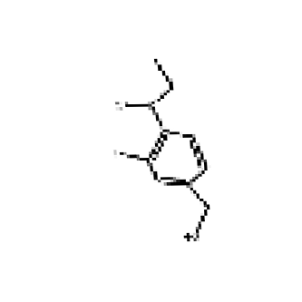 CC[S+]([O-])c1ccc(CO)cc1F